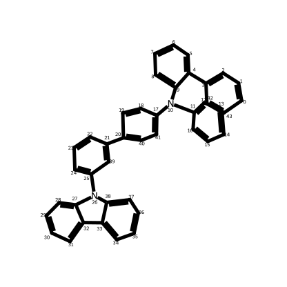 c1ccc(-c2ccccc2N(c2ccccc2)c2ccc(-c3cccc(-n4c5ccccc5c5ccccc54)c3)cc2)cc1